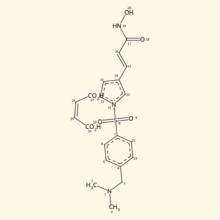 CN(C)Cc1ccc(S(=O)(=O)n2ccc(/C=C/C(=O)NO)c2)cc1.O=C(O)/C=C\C(=O)O